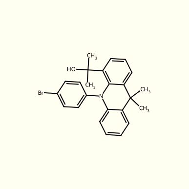 CC(C)(O)c1cccc2c1N(c1ccc(Br)cc1)c1ccccc1C2(C)C